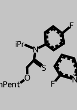 CCCCCOCC(=S)N(c1ccc(F)cc1)C(C)C.Fc1ccccn1